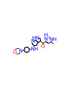 CC(=N)/C=C(\N)C(=O)c1c[nH]c2ncc(Nc3ccc(N4CCOCC4)cc3)cc12